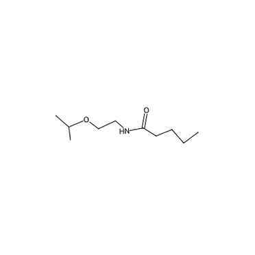 CCCCC(=O)NCCOC(C)C